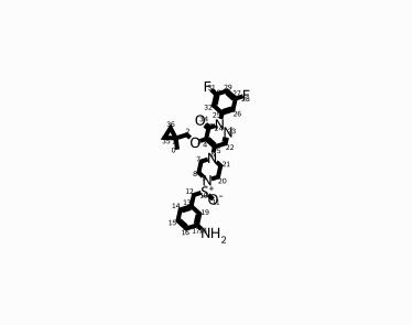 CC1(COc2c(N3CCN([S+]([O-])Cc4cccc(N)c4)CC3)cnn(-c3cc(F)cc(F)c3)c2=O)CC1